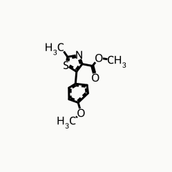 COC(=O)c1nc(C)sc1-c1ccc(OC)cc1